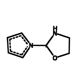 c1ccn([C]2NCCO2)c1